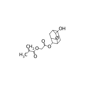 C=C(C)C(=O)OCC(=O)OC1C2CC3CC(C2)C(O)OC1C3